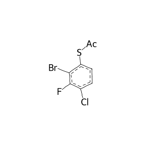 CC(=O)Sc1ccc(Cl)c(F)c1Br